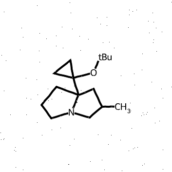 CC1CN2CCCC2(C2(OC(C)(C)C)CC2)C1